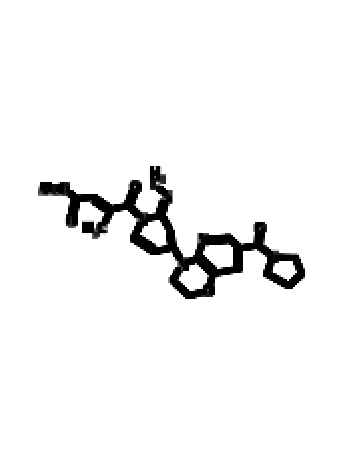 C/N=c1/cc(N2CCOc3cc(C(=O)N4CCCC4)cnc32)ccn1C(=O)/C(C)=C/C(=O)OC